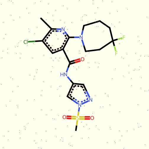 Cc1nc(N2CCCC(F)(F)CC2)c(C(=O)Nc2cnn(S(C)(=O)=O)c2)cc1Cl